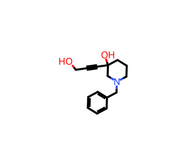 OCC#CC1(O)CCCN(Cc2ccccc2)C1